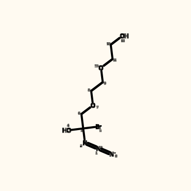 [N-]=[N+]=NC(O)(Br)COCCOCCO